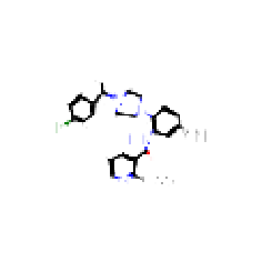 COc1ncccc1C(=O)Nc1cc(C#N)ccc1N1CCN(C(C)c2ccc(F)cc2)CC1